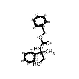 CC(CO)(NC(=O)OCc1ccccc1)c1ccccc1